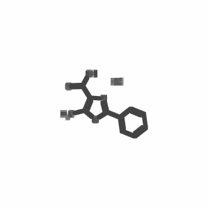 Cc1oc(-c2ccccc2)nc1C(=O)O.Cl